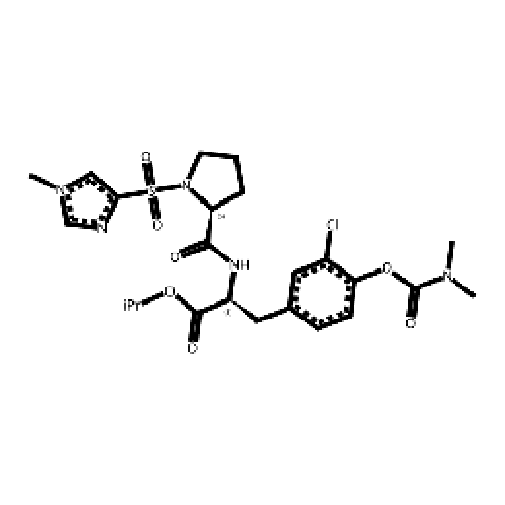 CC(C)OC(=O)[C@H](Cc1ccc(OC(=O)N(C)C)c(Cl)c1)NC(=O)[C@@H]1CCCN1S(=O)(=O)c1cn(C)cn1